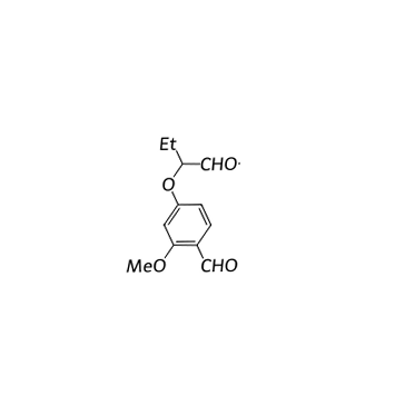 CCC([C]=O)Oc1ccc(C=O)c(OC)c1